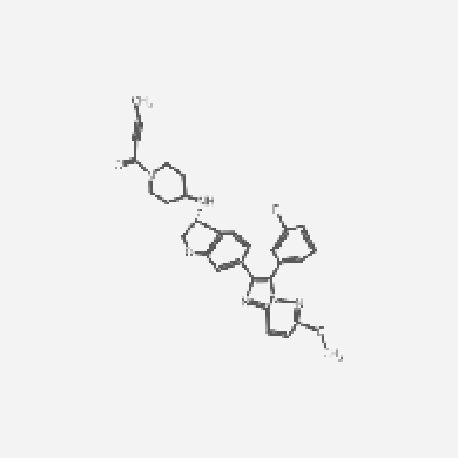 CC#CC(=O)N1CCC(N[C@H]2COc3cc(-c4nc5ccc(OC)nn5c4-c4cccc(F)c4)ccc32)CC1